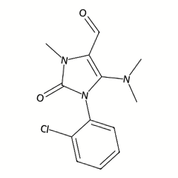 CN(C)c1c(C=O)n(C)c(=O)n1-c1ccccc1Cl